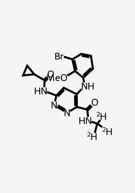 [2H]C([2H])([2H])NC(=O)c1nnc(NC(=O)C2CC2)cc1Nc1cccc(Br)c1OC